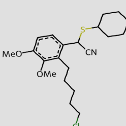 COc1ccc(C(C#N)SC2CCCCC2)c(CCCCCCl)c1OC